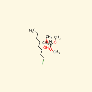 CCCCCCCCF.CO.CO[SiH](OC)OC